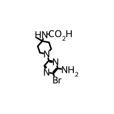 CC1(NC(=O)O)CCN(c2cnc(Br)c(N)n2)CC1